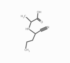 CCCC(C#N)NC(C)C(=O)O